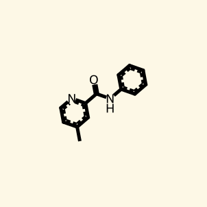 Cc1ccnc(C(=O)Nc2ccccc2)c1